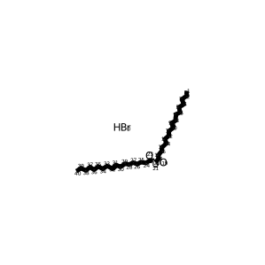 Br.CCCCCCCCC=CCCCCCCCC(=O)N(C)C(=O)CCCCCCCC=CCCCCCCCC